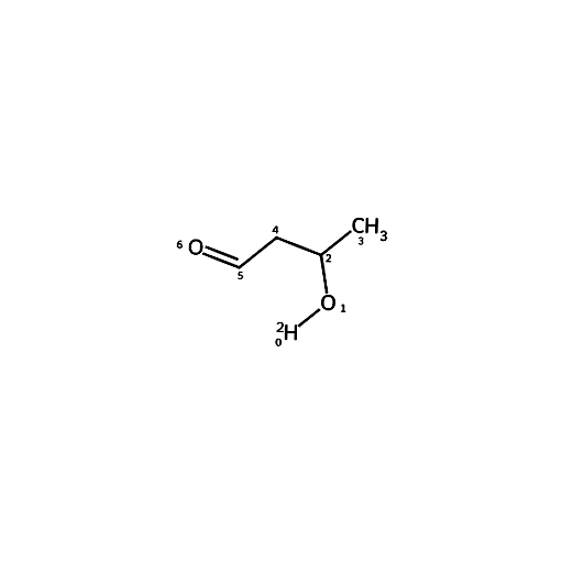 [2H]OC(C)CC=O